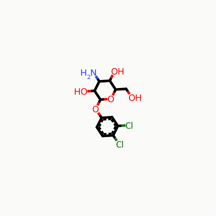 NC1C(O)C(CO)OC(Oc2ccc(Cl)c(Cl)c2)C1O